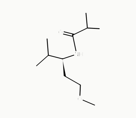 COCC[C@H](NC(=O)C(C)C)C(C)C